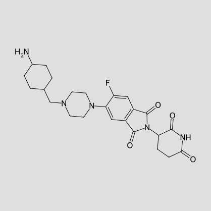 NC1CCC(CN2CCN(c3cc4c(cc3F)C(=O)N(C3CCC(=O)NC3=O)C4=O)CC2)CC1